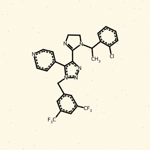 CC(c1ccccc1Cl)N1CCN=C1c1nnn(Cc2cc(C(F)(F)F)cc(C(F)(F)F)c2)c1-c1ccncc1